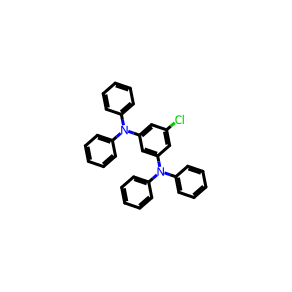 Clc1cc(N(c2ccccc2)c2ccccc2)cc(N(c2ccccc2)c2ccccc2)c1